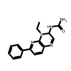 CCN1c2nc(-c3ccccc3)ccc2N=CC1NC(N)=O